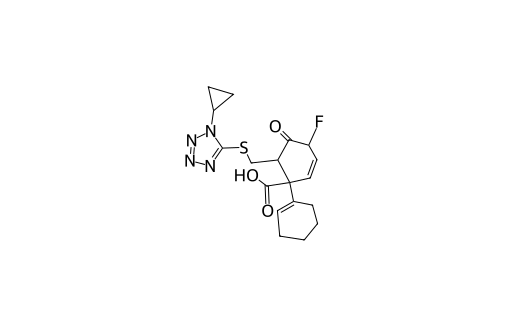 O=C1C(F)C=CC(C(=O)O)(C2=CCCCC2)C1CSc1nnnn1C1CC1